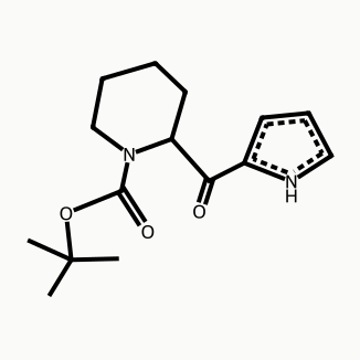 CC(C)(C)OC(=O)N1CCCCC1C(=O)c1ccc[nH]1